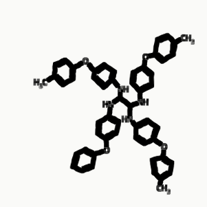 Cc1ccc(Oc2ccc(NC(Nc3ccc(Oc4ccccc4)cc3)C(Nc3ccc(Oc4ccc(C)cc4)cc3)Nc3ccc(Oc4ccc(C)cc4)cc3)cc2)cc1